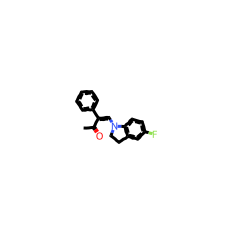 CC(=O)/C(=C\N1CCc2cc(F)ccc21)c1ccccc1